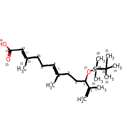 C=C(C)C(CC/C(C)=C/CC/C(C)=C/C(=O)O)O[Si](C)(C)C(C)(C)C